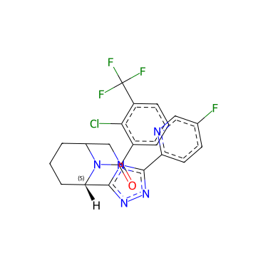 O=C(c1cccc(C(F)(F)F)c1Cl)N1C2CCC[C@H]1c1nnc(-c3ccc(F)cn3)n1C2